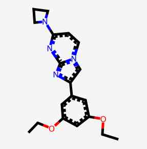 CCOc1cc(OCC)cc(-c2cn3ccc(N4CCC4)nc3n2)c1